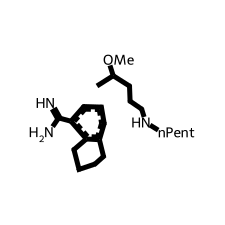 CCCCCNCCCC(C)OC.N=C(N)c1cccc2c1CCCC2